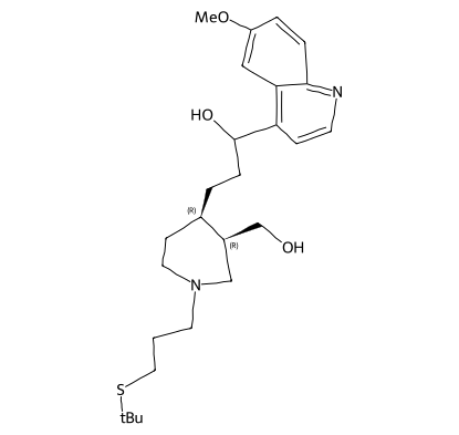 COc1ccc2nccc(C(O)CC[C@@H]3CCN(CCCSC(C)(C)C)C[C@@H]3CO)c2c1